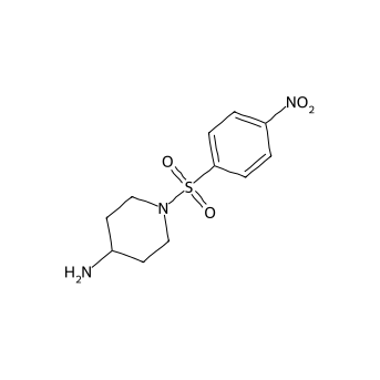 NC1CCN(S(=O)(=O)c2ccc([N+](=O)[O-])cc2)CC1